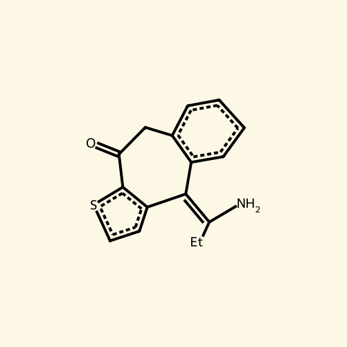 CC/C(N)=C1/c2ccccc2CC(=O)c2sccc21